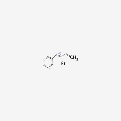 C=C/C(=C/c1ccccc1)CC